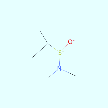 CC(C)[S+]([O-])N(C)C